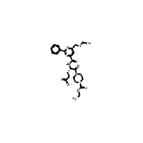 CCOCc1cc(C(=O)N[C@@H](CCC(=O)O)C(=O)N2CCN(C(=O)OCC)CC2)nc(-c2ccccc2)n1